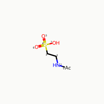 CC(=O)NCCS(=O)(=O)O